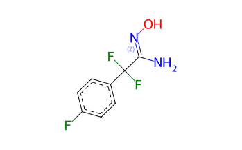 N/C(=N\O)C(F)(F)c1ccc(F)cc1